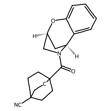 N#CC12CCC(C(=O)N3C[C@@H]4C[C@H]3c3ccccc3O4)(CC1)CC2